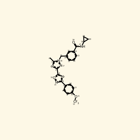 Cc1nc(-c2nc(-c3ccc(OC(F)(F)F)cc3)no2)nn1Cc1cccc(C(=O)NC2CC2)c1